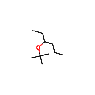 [CH2]CC(CCC)OC(C)(C)C